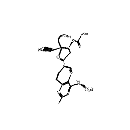 C#C[C@]1(CO)O[C@@H](C2C=Nc3c(nc(F)nc3NC(=O)OCC)CC2)C[C@@H]1OC(=O)CCCCCCCCC